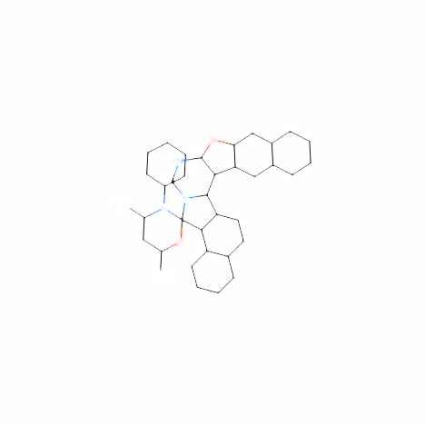 CC1CC(C)N(C2CCCCC2)C2(O1)C1C3CCCCC3CCC1C1C3C(NCN12)OC1CC2CCCCC2CC13